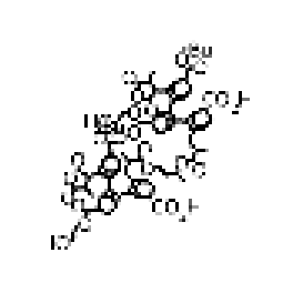 CC(CCOC(=O)C(C)CC1C2CC(C(=O)O)C(C2)C1C1C2CC(C(=O)OCCO)C(C2)C1C1C2CC(C(=O)OC(C)(C)C)C(C2)C1C1C(=O)OC(=O)C1C)OC(=O)C(C)CC1C2CC(C(=O)O)C(C2)C1C1C2CC(C(=O)OCCO)C(C2)C1C1C2CC(C(=O)OC(C)(C)C)C(C2)C1C1C(=O)OC(=O)C1C